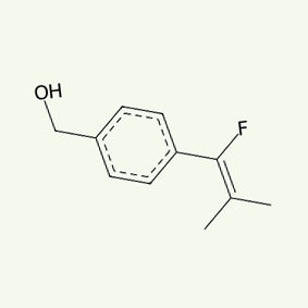 CC(C)=C(F)c1ccc(CO)cc1